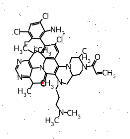 C=CC(=O)N1CC2CN(CCCN(C)C)c3c(c4cc(Cl)c(-c5c(N)c(Cl)cc(Cl)c5F)c(F)c4n(-c4c(C(C)C)ncnc4C(C)C)c3=O)N2CC1C